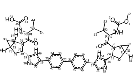 COC(=O)N[C@@H](C(=O)N1C2C[C@H]2C[C@H]1c1ncc(-c2ccc(-c3ccc(-c4cnc([C@@H]5C[C@@H]6C[C@@H]6N5C(=O)[C@H](NC(=O)O)C(C)C)[nH]4)cc3)cc2)[nH]1)C(C)C